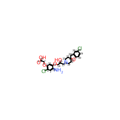 Nc1cc(Cl)c(OCC(=O)O)cc1OC[C@@H](O)CN1CCC2(CC1)Cc1cc(Cl)ccc1O2